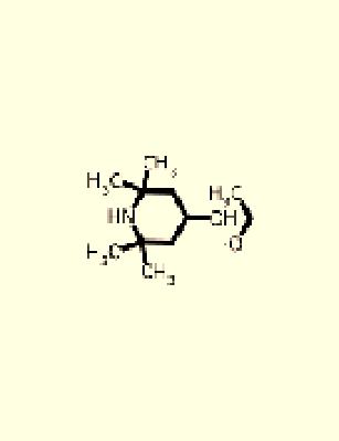 CC1(C)CC(O)CC(C)(C)N1.CC[O]